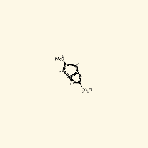 CCOC(=O)c1cc2sc(OC)nc2[nH]1